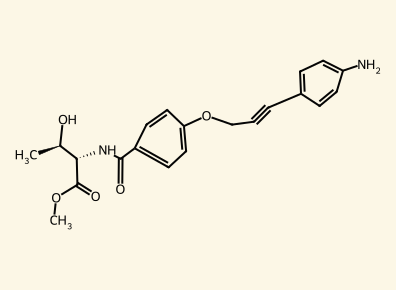 COC(=O)[C@@H](NC(=O)c1ccc(OCC#Cc2ccc(N)cc2)cc1)[C@@H](C)O